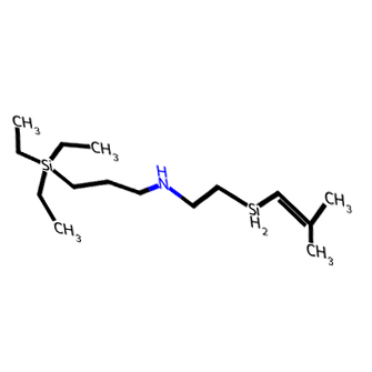 CC[Si](CC)(CC)CCCNCC[SiH2]C=C(C)C